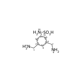 NCc1cccc(CN)c1.NS(=O)(=O)O